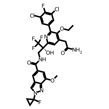 CCOc1c(CC(N)=O)cc([C@@](O)(CNC(=O)c2cc(OC)c3nn(C4(F)CC4)cc3c2)C(F)(F)F)nc1-c1cc(Cl)c(F)c(Cl)c1